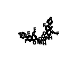 CN1CCN(c2c(F)cc3c(=O)c(NC(=O)Nc4nnc(-c5cn(CCF)c6c(F)c(N7CCN(C)CC7)c(F)cc6c5=O)o4)cn(CCF)c3c2F)CC1